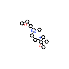 c1ccc(-c2cc(-c3ccc(-c4cccc5c4oc4ccccc45)cc3)nc(-c3cccc(-c4cccc(-c5nc6ccccc6c6c(-c7ccccc7)c7c(cc56)oc5ccccc57)c4)c3)n2)cc1